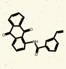 C=Cc1cccc(C(=O)Nc2cccc3c2C(=O)c2ccccc2C3=O)c1